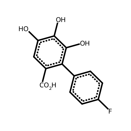 O=C(O)c1cc(O)c(O)c(O)c1-c1ccc(F)cc1